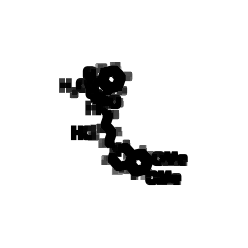 COc1cc2c(cc1OC)CN(CCCCNS(=O)(=O)c1ccccc1S(C)(=O)=O)CC2.Cl